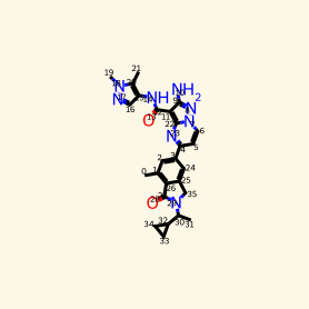 Cc1cc(-c2ccn3nc(N)c(C(=O)Nc4cnn(C)c4C)c3n2)cc2c1C(=O)N(C(C)C1CC1)C2